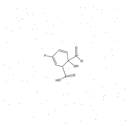 O=C(O)C1C=C(F)C=CC1(O)[N+](=O)[O-]